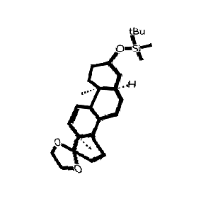 CC(C)(C)[Si](C)(C)OC1CC[C@]2(C)C3C=C[C@@]4(C)C(CCC45OCCO5)C3CC[C@@H]2C1